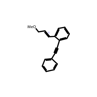 COC/C=C/c1ccccc1C#Cc1ccccc1